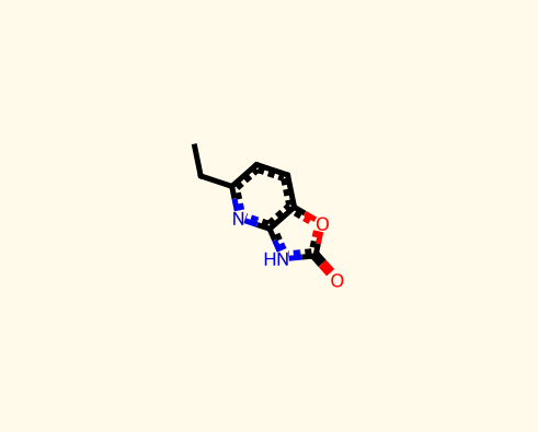 CCc1ccc2oc(=O)[nH]c2n1